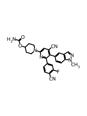 Cn1ncc2cc(-c3c(C#N)cc(N4CCC(OC(N)=O)CC4)nc3-c3ccc(C#N)c(F)c3)ccc21